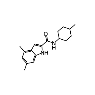 Cc1cc(C)c2cc(C(=O)NC3CCC(C)CC3)[nH]c2c1